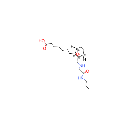 CCCNC(=O)CNC[C@@H]1[C@@H](CCCCCCC(=O)O)[C@@H]2CC[C@H]1O2